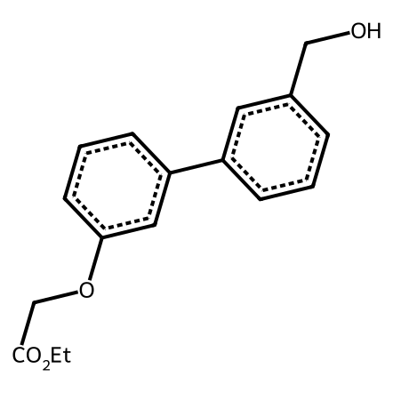 CCOC(=O)COc1cccc(-c2cccc(CO)c2)c1